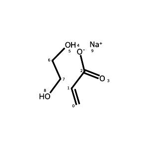 C=CC(=O)[O-].OCCO.[Na+]